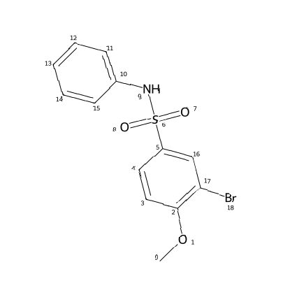 COc1ccc(S(=O)(=O)Nc2ccccc2)cc1Br